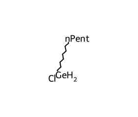 CCCCCCCCCCCC[CH2][GeH2][Cl]